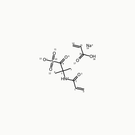 C=CC(=O)NC(C)(C)C(=O)S(=O)(=O)[O-].C=CC(=O)O.[Na+]